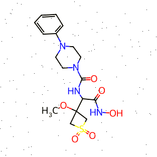 COC1(C(NC(=O)N2CCN(c3ccccc3)CC2)C(=O)NO)CS(=O)(=O)C1